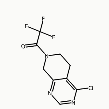 O=C(N1CCc2c(Cl)ncnc2C1)C(F)(F)F